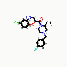 CC1CN(Cc2ccc(F)cc2)CCN1C(=O)C1CNc2cc(Cl)ccc2O1